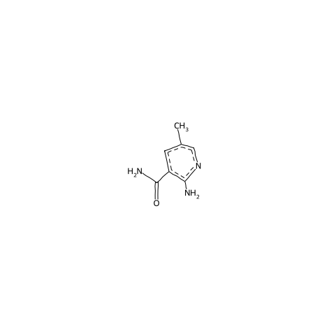 Cc1cnc(N)c(C(N)=O)c1